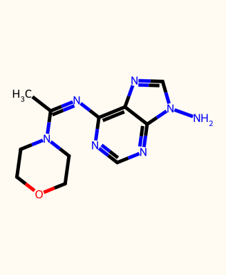 C/C(=N/c1ncnc2c1ncn2N)N1CCOCC1